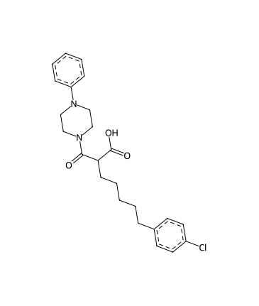 O=C(O)C(CCCCCc1ccc(Cl)cc1)C(=O)N1CCN(c2ccccc2)CC1